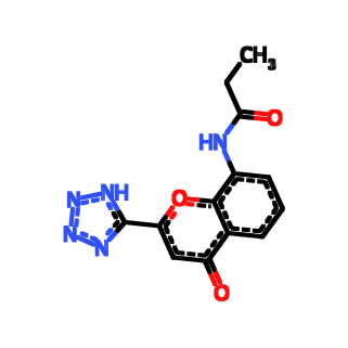 CCC(=O)Nc1cccc2c(=O)cc(-c3nnn[nH]3)oc12